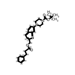 CC(C)(C)OC(=O)N1CCN(c2ccc3ccc(COC(=O)CCc4ccccc4)nc3c2)CC1